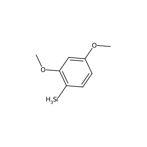 COc1ccc([SiH3])c(OC)c1